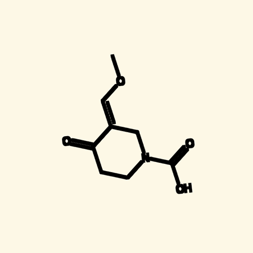 CO/C=C1\CN(C(=O)O)CCC1=O